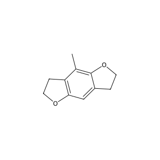 Cc1c2c(cc3c1OCC3)OCC2